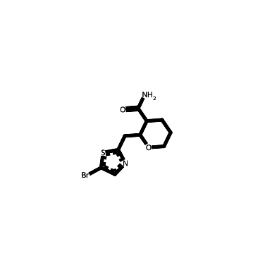 NC(=O)C1CCCOC1Cc1ncc(Br)s1